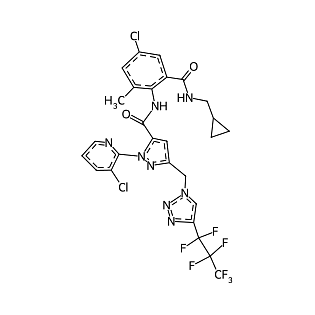 Cc1cc(Cl)cc(C(=O)NCC2CC2)c1NC(=O)c1cc(Cn2cc(C(F)(F)C(F)(F)C(F)(F)F)nn2)nn1-c1ncccc1Cl